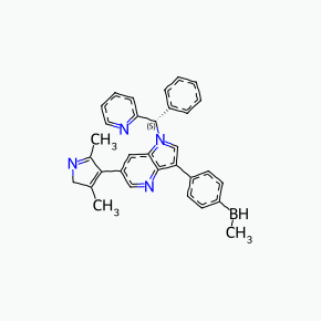 CBc1ccc(-c2cn([C@@H](c3ccccc3)c3ccccn3)c3cc(C4=C(C)CN=C4C)cnc23)cc1